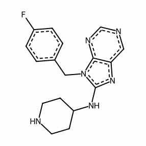 Fc1ccc(Cn2c(NC3CCNCC3)nc3cncnc32)cc1